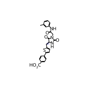 Cc1cccc(NC(=O)CN2C(=O)N/C(=C\c3ccc(-c4ccc(C(=O)O)cc4)s3)C2=O)c1